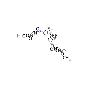 CCOC(=O)N1CCN(C(=O)/C=C/c2ccc(Sc3ccc(/C=C/C(=O)N4CCN(C(=O)OCC)CC4)cc3C(F)(F)F)c(C(F)(F)F)c2)CC1